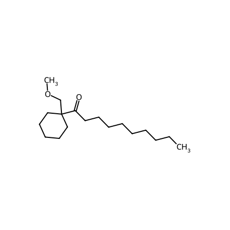 CCCCCCCCCC(=O)C1(COC)CCCCC1